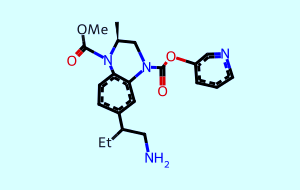 CCC(CN)c1ccc2c(c1)N(C(=O)Oc1cccnc1)C[C@H](C)N2C(=O)OC